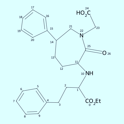 CCOC(=O)C(CCc1ccccc1)NC1CCC(c2ccccc2)CN(CC(=O)O)C1=O